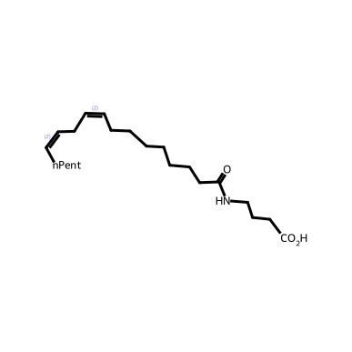 CCCCC/C=C\C/C=C\CCCCCCCC(=O)NCCCC(=O)O